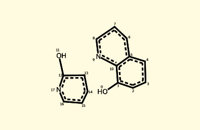 Oc1cccc2cccnc12.Oc1ccccn1